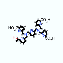 C=C(O)c1cccc(CN(Cc2cccc(CN(Cc3cccc(C(=O)O)n3)Cc3cccc(C(=O)O)n3)n2)Cc2cccc(C(=O)O)n2)n1